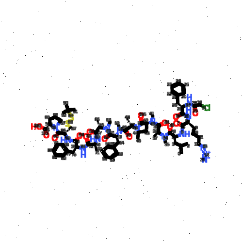 CC(C)C[C@H](NC(=O)[C@H](CCCCN=[N+]=[N-])NC(=O)[C@H](Cc1ccccc1)NC(=O)CCl)C(=O)N(C)[C@@H](C)C(=O)N(C)[C@H]1CC(C)N([C@@H](C)C(=O)N(C)[C@@H](Cc2ccccc2)C(=O)N(C)[C@@H](C)C(=O)N[C@@H](C)C(=O)N[C@@H](Cc2ccccc2)C(=O)N[C@@H](CSSC(C)(C)C)C(=O)N2CCC[C@H]2C(=O)O)C1=O